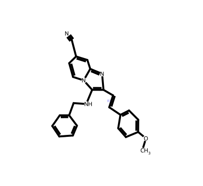 COc1ccc(/C=C/c2nc3cc(C#N)ccn3c2NCc2ccccc2)cc1